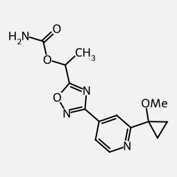 COC1(c2cc(-c3noc(C(C)OC(N)=O)n3)ccn2)CC1